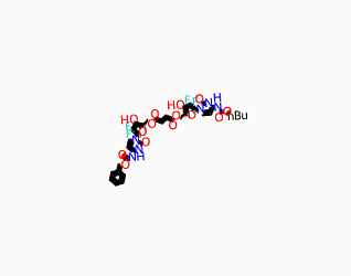 CCCCOC(=O)Nc1ccn([C@H]2O[C@@H](COC(=O)CCC(=O)OC[C@H]3O[C@@H](n4ccc(NC(=O)OCc5ccccc5)nc4=O)C(F)(F)[C@@H]3O)[C@H](O)C2(F)F)c(=O)n1